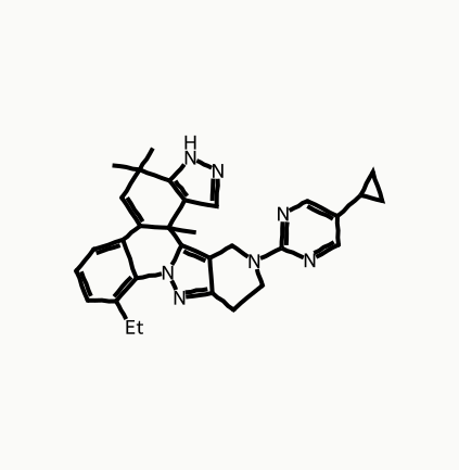 CCc1cccc2c1-n1nc3c(c1C1(C)C2=CC(C)(C)c2[nH]ncc21)CN(c1ncc(C2CC2)cn1)CC3